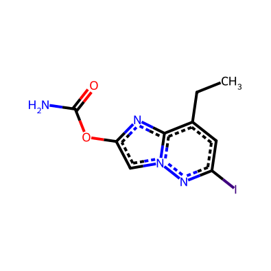 CCc1cc(I)nn2cc(OC(N)=O)nc12